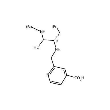 CC(C)C[C@H](NCc1cc(C(=O)O)ccn1)C(O)NC(C)(C)C